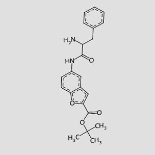 CC(C)(C)OC(=O)c1cc2cc(NC(=O)C(N)Cc3ccccc3)ccc2o1